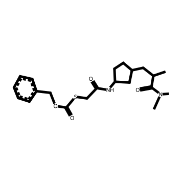 CC(CC1CCC(NC(=O)CSC(=O)OCc2ccccc2)C1)C(=O)N(C)C